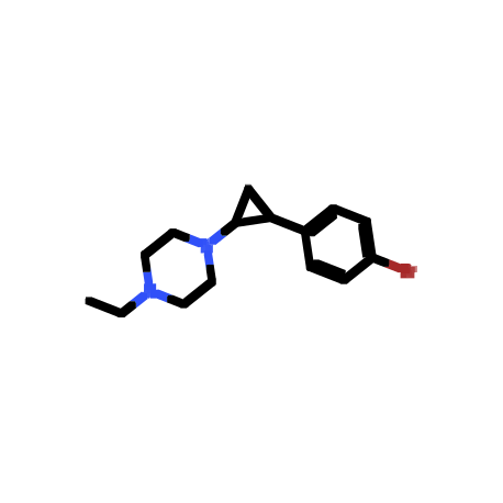 CCN1CCN(C2CC2c2ccc(Br)cc2)CC1